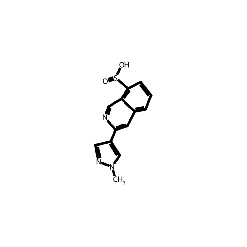 Cn1cc(-c2cc3cccc(S(=O)O)c3cn2)cn1